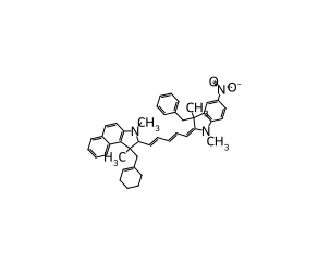 CN1/C(=C/C=C/C=C/C2N(C)c3ccc4ccccc4c3C2(C)CC2=CCCCC2)C(C)(Cc2ccccc2)c2cc([N+](=O)[O-])ccc21